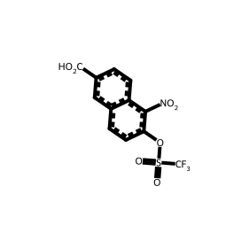 O=C(O)c1ccc2c([N+](=O)[O-])c(OS(=O)(=O)C(F)(F)F)ccc2c1